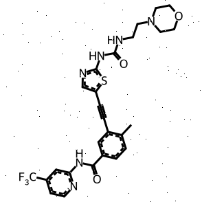 Cc1ccc(C(=O)Nc2cc(C(F)(F)F)ccn2)cc1C#Cc1cnc(NC(=O)NCCN2CCOCC2)s1